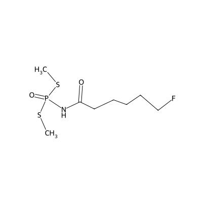 CSP(=O)(NC(=O)CCCCCF)SC